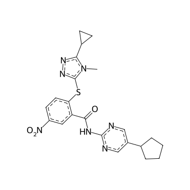 Cn1c(Sc2ccc([N+](=O)[O-])cc2C(=O)Nc2ncc(C3CCCC3)cn2)nnc1C1CC1